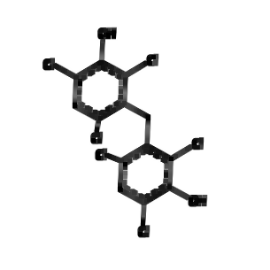 Oc1c(Cl)cc(Cl)c(Cc2c(Cl)cc(Cl)c(O)c2Cl)c1Cl